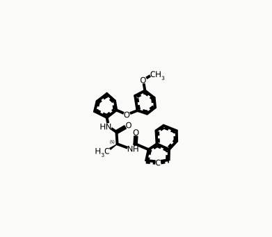 COc1cccc(Oc2ccccc2NC(=O)[C@H](C)NC(=O)c2cccc3ccccc23)c1